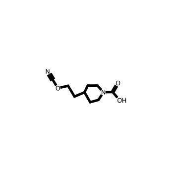 N#COCCC1CCN(C(=O)O)CC1